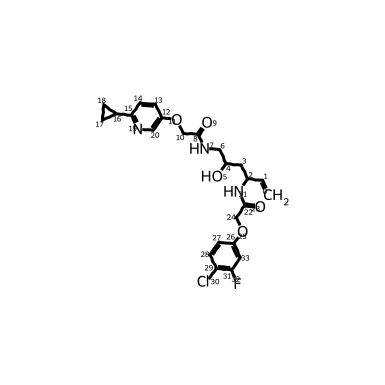 C=CC(CC(O)CNC(=O)COc1ccc(C2CC2)nc1)NC(=O)COc1ccc(Cl)c(F)c1